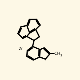 CC1=Cc2c(cccc2C2Cc3cccc4cccc2c34)[CH]1.[Zr]